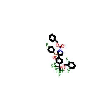 O=C(OCc1ccccc1)N1CCC(c2ccc(C(OCc3c(F)cccc3F)(C(F)(F)F)C(F)(F)F)cc2)([S+]([O-])c2ccc(F)cc2)C1